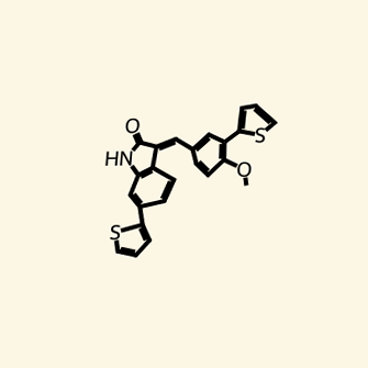 COc1ccc(/C=C2/C(=O)Nc3cc(-c4cccs4)ccc32)cc1-c1cccs1